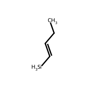 CCC=C[SiH3]